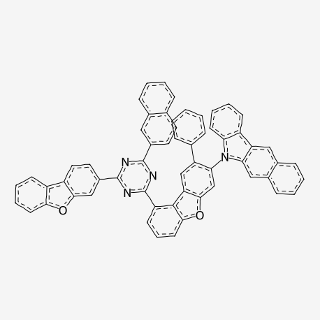 c1ccc(-c2cc3c(cc2-n2c4ccccc4c4cc5ccccc5cc42)oc2cccc(-c4nc(-c5ccc6ccccc6c5)nc(-c5ccc6c(c5)oc5ccccc56)n4)c23)cc1